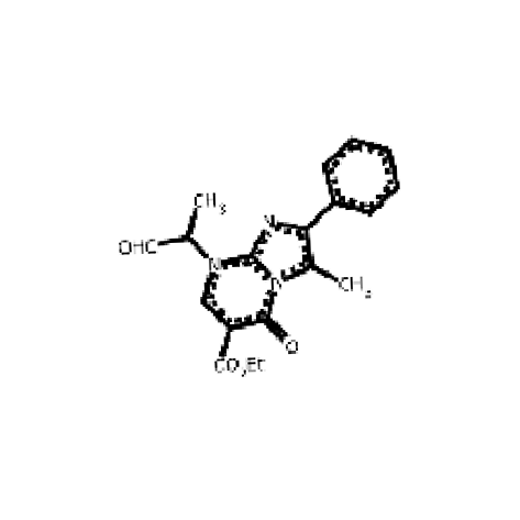 CCOC(=O)c1cn(C(C)C=O)c2nc(-c3ccccc3)c(C)n2c1=O